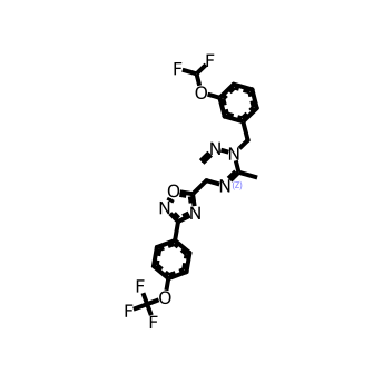 C=NN(Cc1cccc(OC(F)F)c1)/C(C)=N\Cc1nc(-c2ccc(OC(F)(F)F)cc2)no1